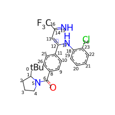 CC(C)(C)C1CCCN1C(=O)c1ccc(/C(=C/C(=N)C(F)(F)F)Nc2ccccc2Cl)cc1